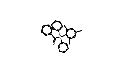 Cc1cc(C)c([PH](C(=O)c2ccccc2)(c2ccccc2)c2ccccc2)c(C)c1